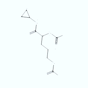 O=C(O)NCCCC(NC(=O)O)C(=O)NC1CC1